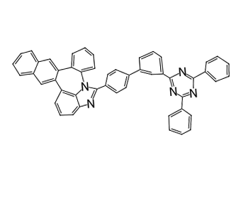 c1ccc(-c2nc(-c3ccccc3)nc(-c3cccc(-c4ccc(-c5nc6cccc7c6n5-c5ccccc5-c5cc6ccccc6cc5-7)cc4)c3)n2)cc1